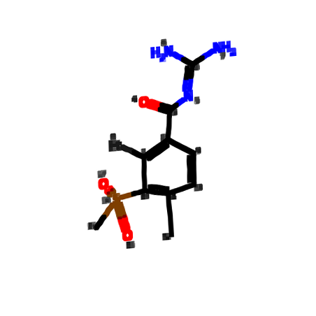 CCc1c(C(=O)N=C(N)N)ccc(C)c1S(C)(=O)=O